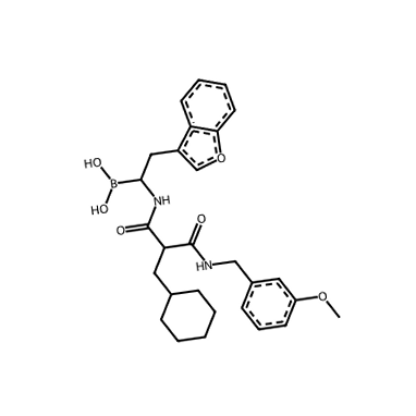 COc1cccc(CNC(=O)C(CC2CCCCC2)C(=O)NC(Cc2coc3ccccc23)B(O)O)c1